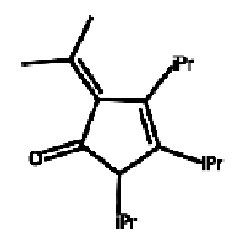 CC(C)=C1C(=O)C(C(C)C)C(C(C)C)=C1C(C)C